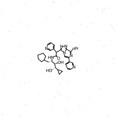 CCCc1nc(-c2cccnc2)cn2c(C(C(=O)N[C@@H](CC3CCCCC3)[C@@H](O)[C@@H](O)C3CC3)c3cccnc3)nnc12